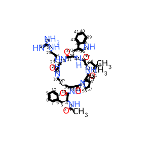 CC(=O)N[C@@H](Cc1ccccc1)C(=O)N[C@H]1CCCNC(=O)[C@H](CCCNC(=N)N)NC(=O)[C@H](Cc2c[nH]c3ccccc23)NC(=O)[C@@H](CC(C)C)NC(=O)[C@@H]2CCCN2C1=O